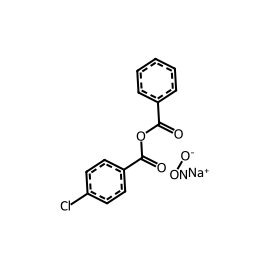 O=C(OC(=O)c1ccc(Cl)cc1)c1ccccc1.O=N[O-].[Na+]